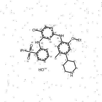 CCOc1cc(C2CCNCC2)c(C)cc1Nc1ncc(Cl)c(Nc2ccccc2S(=O)(=O)C(C)C)n1.Cl